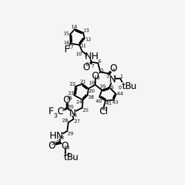 CC(C)(C)CN1C(=O)C(CC(=O)NCc2ccccc2F)OC(c2cccc(CN(CCCNC(=O)OC(C)(C)C)C(=O)C(F)(F)F)c2)c2cc(Cl)ccc21